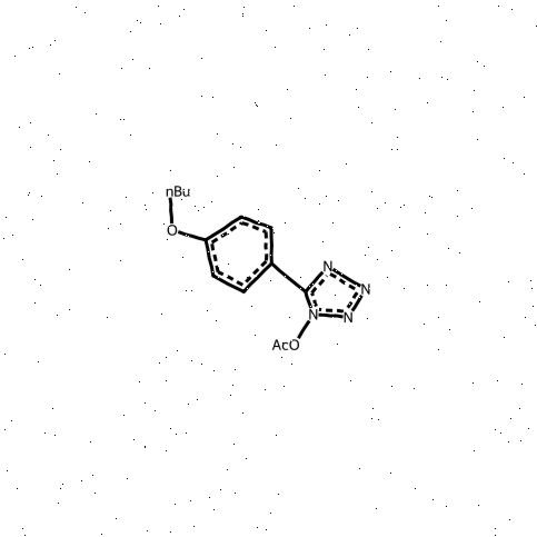 CCCCOc1ccc(-c2nnnn2OC(C)=O)cc1